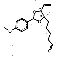 C=C[C@@H]1OC(c2ccc(OC)cc2)O[C@]1(C)CCCCC=O